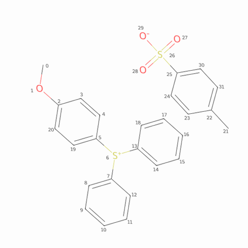 COc1ccc([S+](c2ccccc2)c2ccccc2)cc1.Cc1ccc(S(=O)(=O)[O-])cc1